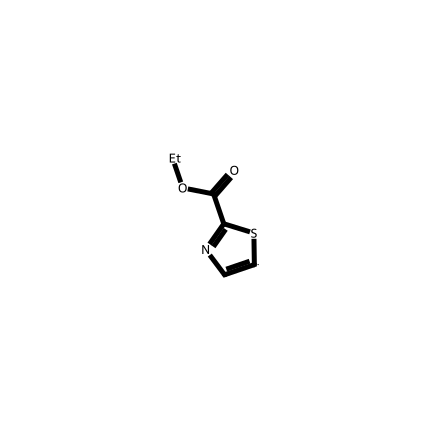 CCOC(=O)c1nc[c]s1